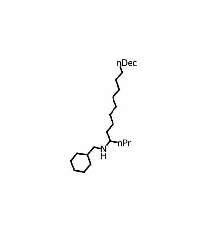 CCCCCCCCCCCCCCCCCCC(CCC)NCC1CCCCC1